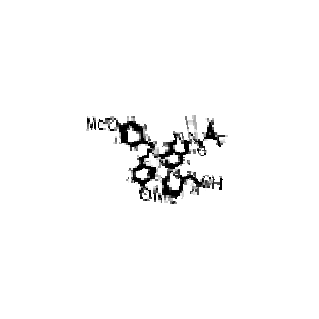 COc1ccc(CN(Cc2ccc(OC)cc2)c2nc(N3CCCC3CCO)cc3cc(NC(=O)[C@@H]4C[C@@H]4F)ncc23)cc1